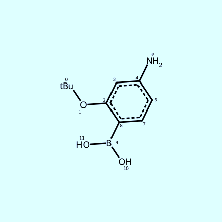 CC(C)(C)Oc1cc(N)ccc1B(O)O